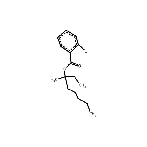 CCCCCC(C)(CC)OC(=O)c1ccccc1O